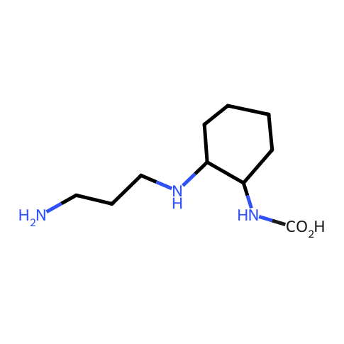 NCCCNC1CCCCC1NC(=O)O